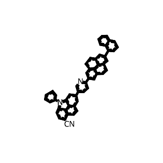 N#Cc1ccc2c3c1ccc1cc(-c4ccc(-c5cc6ccc7cc(-c8cccc9ccccc89)cc8ccc(c5)c6c78)nc4)cc(c13)n2-c1ccccc1